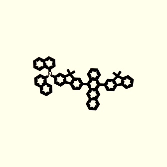 CC1(C)c2ccccc2-c2ccc(-c3c4ccccc4c(-c4ccc5c(c4)C(C)(C)c4cc(N(c6cccc7ccccc67)c6cccc7ccccc67)ccc4-5)c4cc5ccccc5cc34)cc21